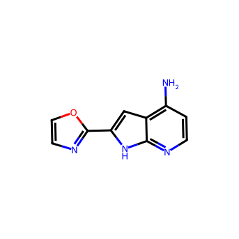 Nc1ccnc2[nH]c(-c3ncco3)cc12